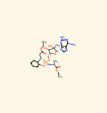 CCOC(=O)CCc1ccccc1O[P@@](=O)(NC(C)C(=O)OCC)OC[C@H]1O[C@@H](n2cnc3c(N)nc(N)nc32)C(C)(O)C1O